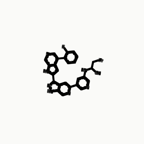 CC(C)CC(O)Nc1cncc(-c2cc3c(-c4cc5c(-c6ccccc6F)cncc5[nH]4)n[nH]c3cn2)c1